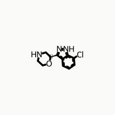 Clc1cccc2c([C@@H]3CNCCO3)n[nH]c12